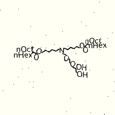 CCCCCCCCC(CCCCCC)C(=O)OCCCCCCN(CCCCCCOC(=O)C(CCCCCC)CCCCCCCC)CCOCCOCC(O)CO